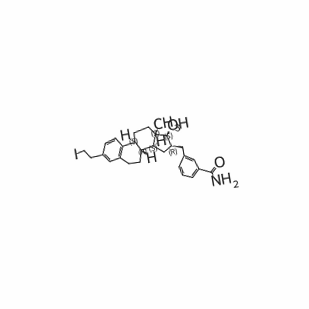 C[C@]12CC[C@@H]3c4ccc(CCI)cc4CC[C@H]3[C@@H]1C[C@H](Cc1cccc(C(N)=O)c1)[C@@H]2O